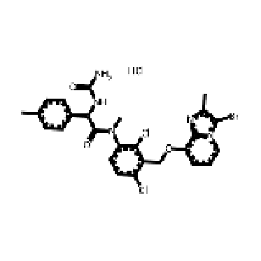 Cc1ccc(C(NC(N)=O)C(=O)N(C)c2ccc(Cl)c(COc3cccn4c(Br)c(C)nc34)c2Cl)cc1.Cl